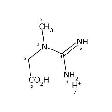 CN(CC(=O)O)C(=N)N.[H+]